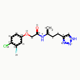 C=C(CCc1c[nH]nn1)NC(=O)COc1ccc(Cl)c(F)c1